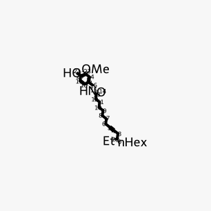 CCCCCCC(CC)CC#CCCCCCCCC(=O)NCc1ccc(O)c(OC)c1